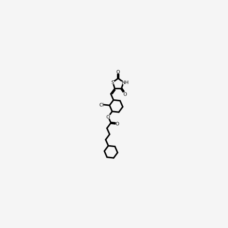 O=C(CCCC1CCCCC1)OC1CCCC(C=C2SC(=O)NC2=O)C1Cl